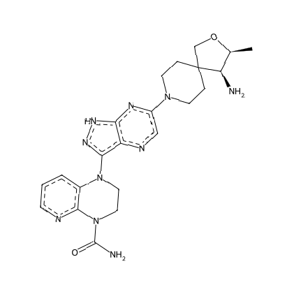 C[C@@H]1OCC2(CCN(c3cnc4c(N5CCN(C(N)=O)c6ncccc65)n[nH]c4n3)CC2)[C@@H]1N